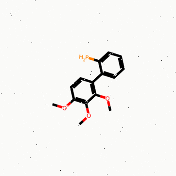 COc1ccc(-c2ccccc2P)c(OC)c1OC